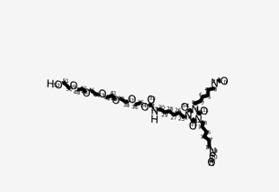 O=C=NCCCCCCn1c(=O)n(CCCCCCN=C=O)c(=O)n(CCCCCCNC(=O)OCCOCCOCCOCCOCCOCCO)c1=O